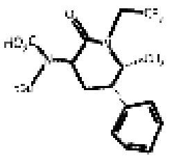 C[C@@H]1[C@H](c2ccccc2)CC(N(C(=O)O)C(C)(C)C)C(=O)N1CC(F)(F)F